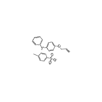 C=CCOc1ccc([I+]c2ccccc2)cc1.Cc1ccc(S(=O)(=O)[O-])cc1